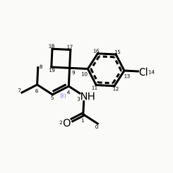 CC(=O)N/C(=C/C(C)C)C1(c2ccc(Cl)cc2)CCC1